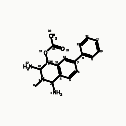 CN1C(N)c2ccc(-c3ccccc3)cc2N(OC(=O)C(F)(F)F)C1N